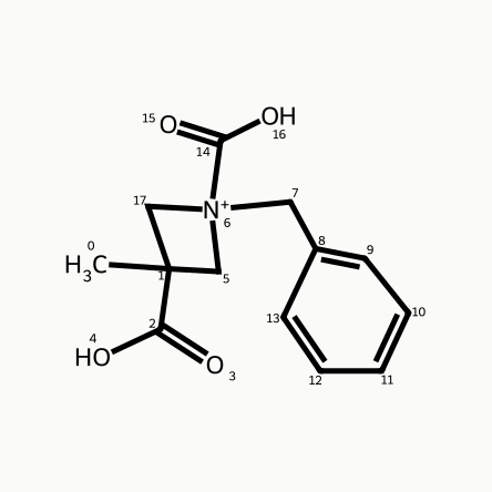 CC1(C(=O)O)C[N+](Cc2ccccc2)(C(=O)O)C1